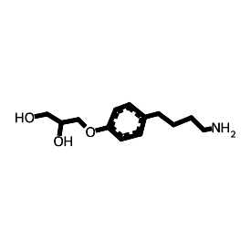 NCCCCc1ccc(OCC(O)CO)cc1